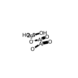 O=S(=O)(O)O.[O]=[Al][O-].[O]=[Al][O-].[Zn+2]